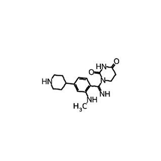 CNc1cc(C2CCNCC2)ccc1C(=N)N1CCC(=O)NC1=O